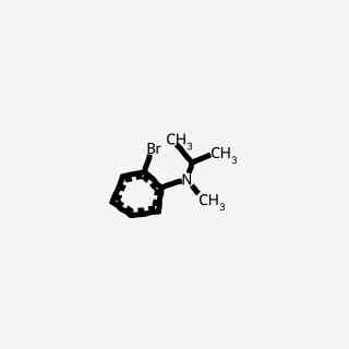 CC(C)N(C)c1ccccc1Br